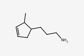 CC1C=CCC1CCCN